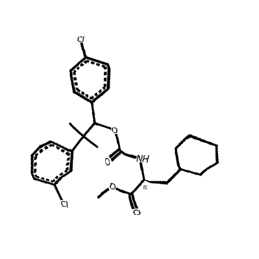 COC(=O)[C@H](CC1CCCCC1)NC(=O)OC(c1ccc(Cl)cc1)C(C)(C)c1cccc(Cl)c1